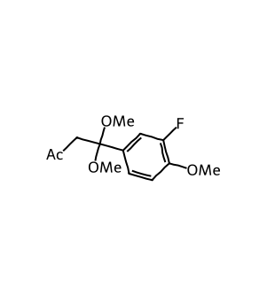 COc1ccc(C(CC(C)=O)(OC)OC)cc1F